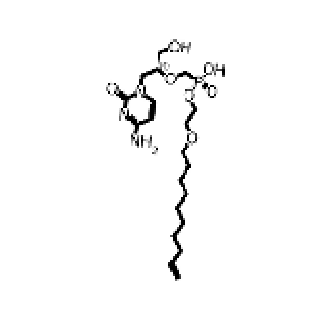 C=CCCCCCCCCOCCOP(=O)(O)CO[C@H](CO)Cn1ccc(N)nc1=O